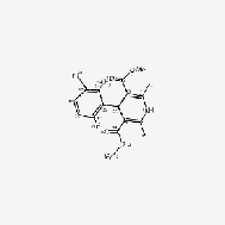 COC(=O)C1=C(C)NC(C)=C(C(=O)OC(C)C)C1c1c(F)ccc(Cl)c1C(F)(F)F